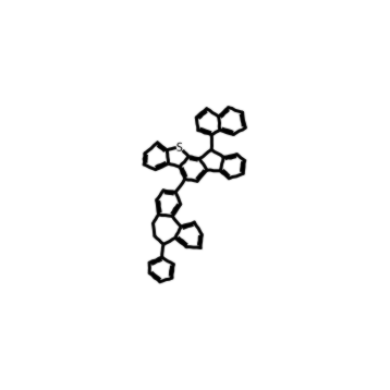 c1ccc(C2CCc3ccc(-c4cc5c(c6sc7ccccc7c46)C(c4cccc6ccccc46)c4ccccc4-5)cc3-c3ccccc32)cc1